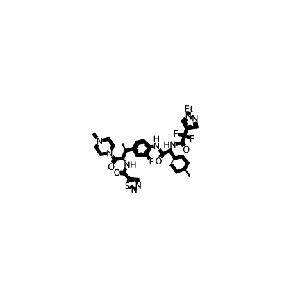 CCn1cc(C(F)(F)C(=O)N[C@H](C(=O)Nc2ccc([C@H](C)[C@@H](NC(=O)c3cnns3)C(=O)N3CCN(C)CC3)cc2F)[C@H]2CC[C@H](C)CC2)cn1